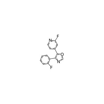 Fc1cc(-c2ocnc2-c2ccccc2F)ccn1